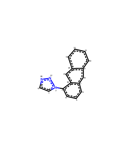 [c]1cn(-c2cccc3cc4ccccc4cc23)nn1